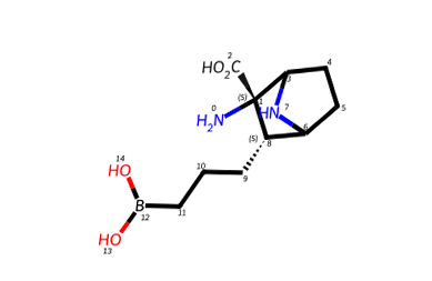 N[C@]1(C(=O)O)C2CCC(N2)[C@@H]1CCCB(O)O